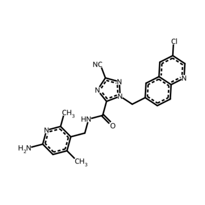 Cc1cc(N)nc(C)c1CNC(=O)c1nc(C#N)nn1Cc1ccc2ncc(Cl)cc2c1